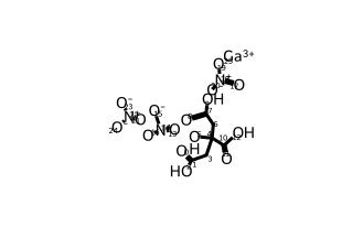 O=C(O)CC(O)(CC(=O)O)C(=O)O.O=[N+]([O-])[O-].O=[N+]([O-])[O-].O=[N+]([O-])[O-].[Ga+3]